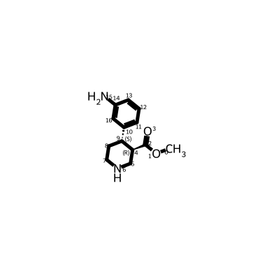 COC(=O)[C@H]1CNCC[C@@H]1c1cccc(N)c1